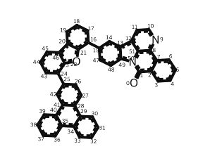 O=c1c2ccccc2c2nccc3c4cc(-c5cccc6c5oc5c(-c7ccc8c9ccccc9c9ccccc9c8c7)cccc56)ccc4n1c32